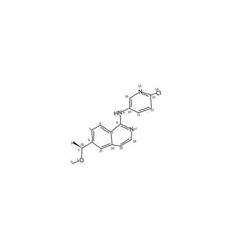 CO[C@@H](C)c1ccc2c(Nc3ccc(Cl)nc3)nccc2c1